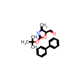 C=C1N=C(OC(C)(C)C)OC1C=O.c1ccc(-c2ccccc2)cc1